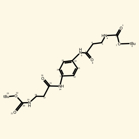 CC(C)(C)OC(=O)NCCC(=O)Nc1ccc(NC(=O)CCNC(=O)OC(C)(C)C)cc1